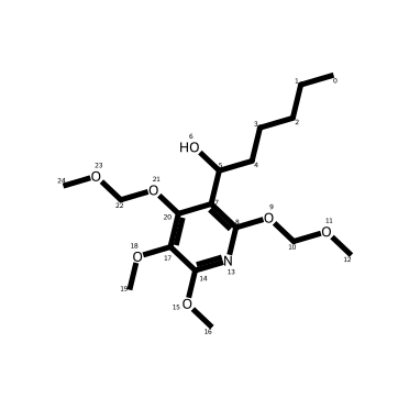 CCCCCC(O)c1c(OCOC)nc(OC)c(OC)c1OCOC